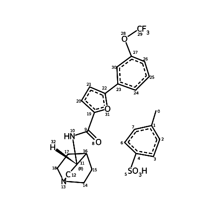 Cc1ccc(S(=O)(=O)O)cc1.O=C(N[C@H]1CN2CCC1CC2)c1ccc(-c2cccc(OC(F)(F)F)c2)o1